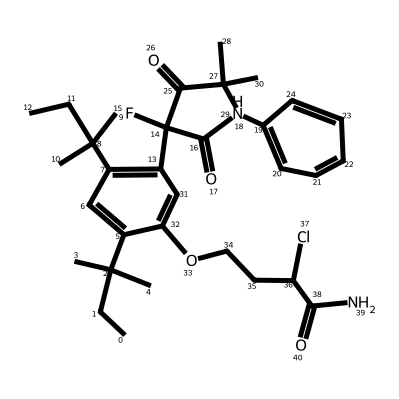 CCC(C)(C)c1cc(C(C)(C)CC)c(C(F)(C(=O)Nc2ccccc2)C(=O)C(C)(C)C)cc1OCCC(Cl)C(N)=O